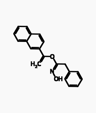 C=C(OC(Cc1ccccc1)=NO)c1ccc2ccccc2c1